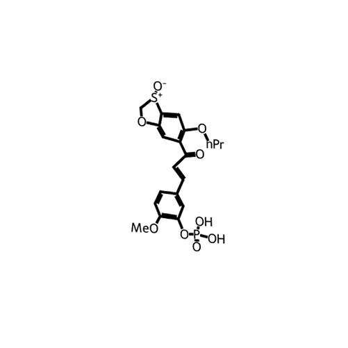 CCCOc1cc2c(cc1C(=O)C=Cc1ccc(OC)c(OP(=O)(O)O)c1)OC[S+]2[O-]